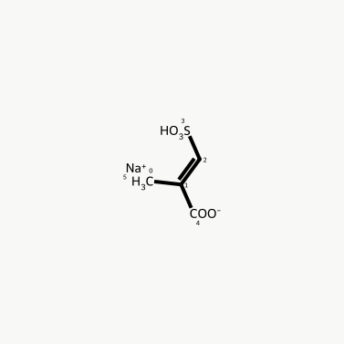 CC(=CS(=O)(=O)O)C(=O)[O-].[Na+]